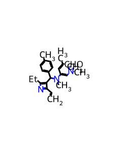 C=CC1=NC(CC)=C1C(c1ccc(C)cc1)N(C)C(/C=C(/C)C=O)=C/N(C)C